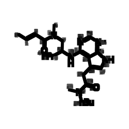 C/C=C/C(=O)N(C)CC(CCC)Nc1ncnc2[nH]cc(CC(=O)N(C)CCCC)c12